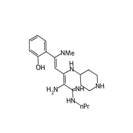 CCCNC(=N)/C(N)=C(/C=C(\NC)c1ccccc1O)NC1CCNCC1